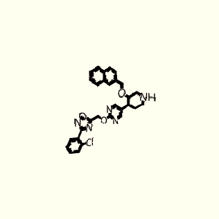 Clc1ccccc1-c1noc(COc2ncc(C3CCNCC3OCc3ccc4ccccc4c3)cn2)n1